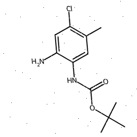 Cc1cc(NC(=O)OC(C)(C)C)c(N)cc1Cl